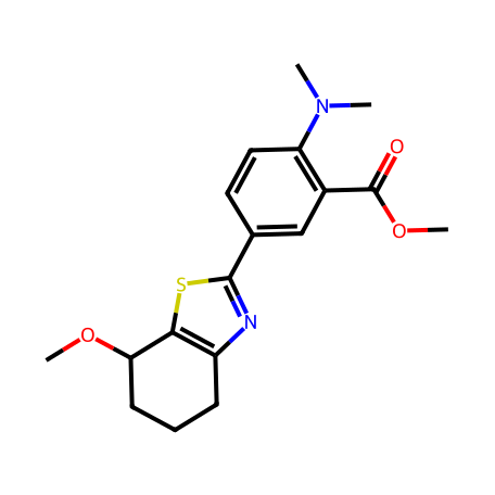 COC(=O)c1cc(-c2nc3c(s2)C(OC)CCC3)ccc1N(C)C